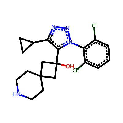 OC1(c2c(C3CC3)nnn2-c2c(Cl)cccc2Cl)CC2(CCNCC2)C1